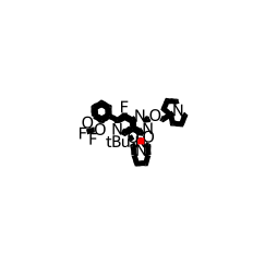 CC(C)(C)OC(=O)N1C2CCC1CN(c1nc(OCC34CCCN3CCC4)nc3c(F)c(-c4cccc5c4OC(F)(F)O5)ncc13)C2